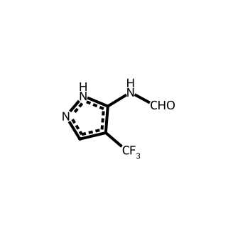 O=CNc1[nH]ncc1C(F)(F)F